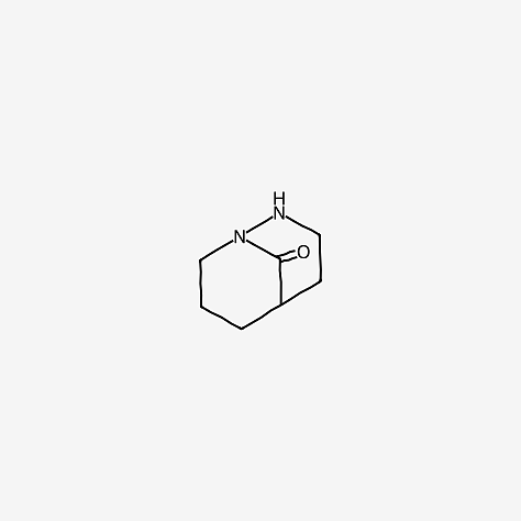 O=C1C2CCCN1NCC2